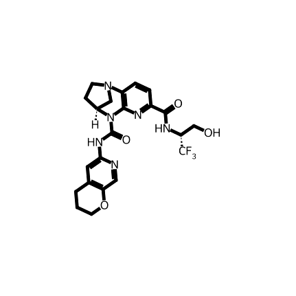 O=C(N[C@H](CO)C(F)(F)F)c1ccc2c(n1)N(C(=O)Nc1cc3c(cn1)OCCC3)[C@H]1CCN2C1